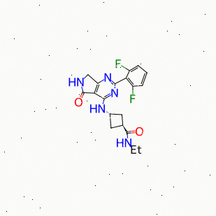 CCNC(=O)[C@H]1C[C@H](Nc2nc(-c3c(F)cccc3F)nc3c2C(=O)NC3)C1